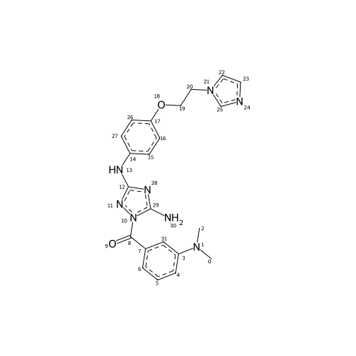 CN(C)c1cccc(C(=O)n2nc(Nc3ccc(OCCn4ccnc4)cc3)nc2N)c1